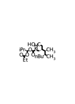 CCCC[C@@H](C)[C@@H](C)[C@H](CNC(=O)O[C@@H](OC(=O)CC)C(C)C)CC(=O)O